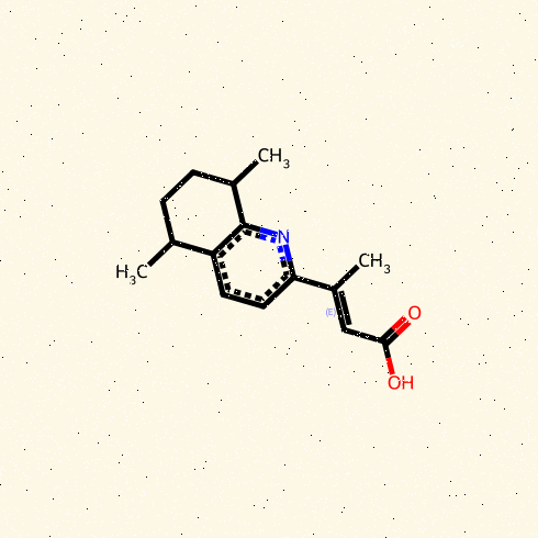 C/C(=C\C(=O)O)c1ccc2c(n1)C(C)CCC2C